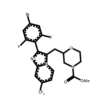 COC(=O)N1CCOC(Cc2c(-c3c(F)cc(Br)cc3F)nc3cc(C(F)(F)F)ccn23)C1